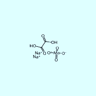 O=C(O)C(=O)O.[Na+].[Na+].[O]=[Mo](=[O])([O-])[O-]